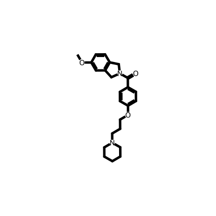 COc1ccc2c(c1)CN(C(=O)c1ccc(OCCCN3CCCCC3)cc1)C2